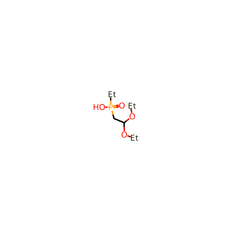 CCOC(CP(=O)(O)CC)OCC